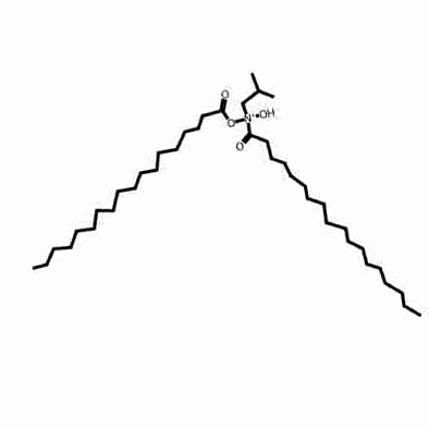 CCCCCCCCCCCCCCCCCC(=O)O[N+](O)(CC(C)C)C(=O)CCCCCCCCCCCCCCCCC